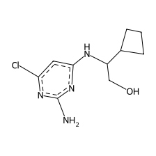 Nc1nc(Cl)cc(NC(CO)C2CCC2)n1